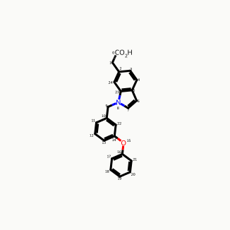 O=C(O)Cc1ccc2ccn(Cc3cccc(Oc4ccccc4)c3)c2c1